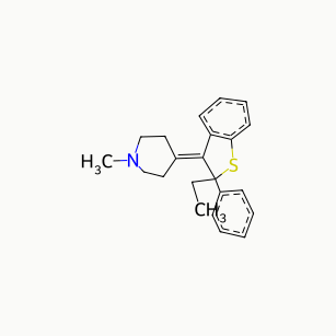 CCC1(c2ccccc2)Sc2ccccc2C1=C1CCN(C)CC1